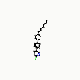 CCCCCCC[C@H]1CC[C@H](c2ccc(-c3ccc(Cl)nc3)cc2)CC1